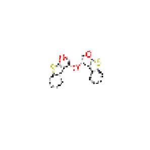 c1ccc2c(c1)sc1occ(Oc3coc4sc5ccccc5c34)c12